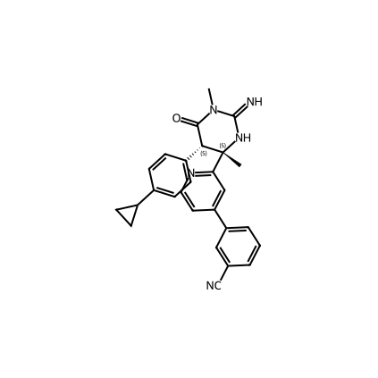 CN1C(=N)N[C@](C)(c2cc(-c3cccc(C#N)c3)ccn2)[C@H](c2ccc(C3CC3)cc2)C1=O